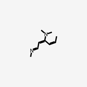 C\C=C/C(=C\C=N\C)N(C)C